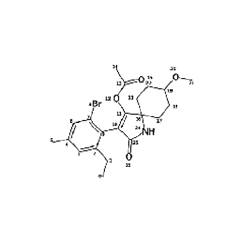 CCc1cc(C)cc(Br)c1C1=C(OC(C)=O)C2(CCC(OC)CC2)NC1=O